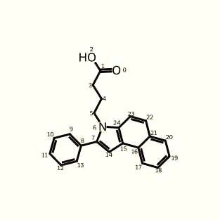 O=C(O)CCCn1c(-c2ccccc2)cc2c3ccccc3ccc21